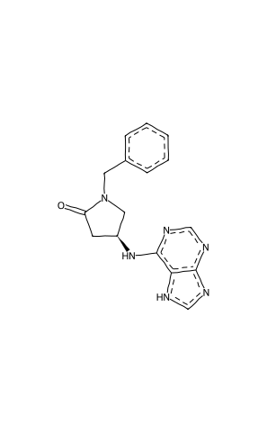 O=C1C[C@H](Nc2ncnc3nc[nH]c23)CN1Cc1ccccc1